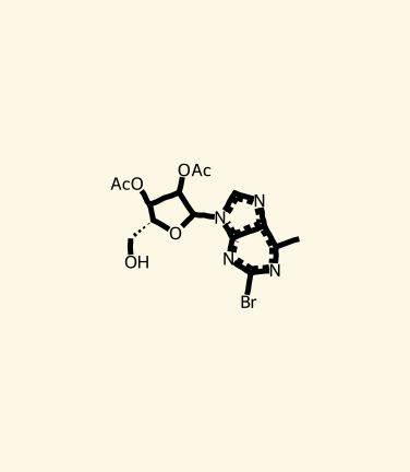 CC(=O)OC1C(OC(C)=O)[C@@H](CO)OC1n1cnc2c(C)nc(Br)nc21